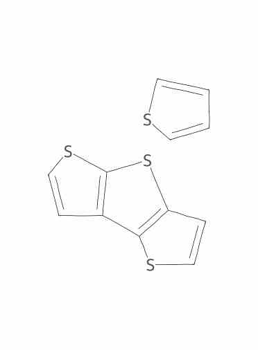 c1cc2c(s1)sc1ccsc12.c1ccsc1